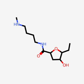 CCC1OC(C(=O)NCCCCNC)CC1O